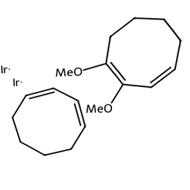 C1=C\CCCC\C=C/1.COC1=C(\OC)CCCC/C=C\1.[Ir].[Ir]